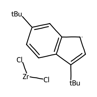 CC(C)(C)C1=C[CH]c2cc(C(C)(C)C)ccc21.[Cl][Zr][Cl]